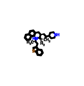 C=C(C[C@H](Cc1ccc2ccccc2c1)C(=C)N[C@@H](C)Cc1csc2ccccc12)C1CCNCC1